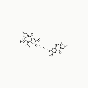 C=C1C[C@H]2C=Nc3cc(OCCCCCOc4cc5c(cc4OC)C(=O)N4CC(=C)C[C@H]4[C@H](O)N5C(C)CC)c(OC)cc3C(=O)N2C1